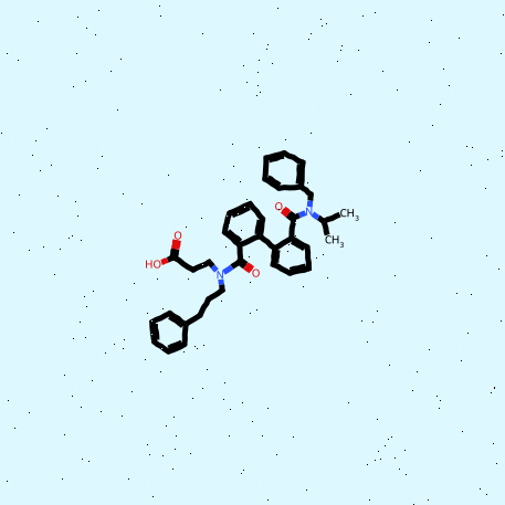 CC(C)N(Cc1ccccc1)C(=O)c1ccccc1-c1ccccc1C(=O)N(CCCc1ccccc1)CCC(=O)O